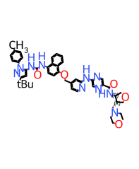 Cc1ccc(-n2nc(C(C)(C)C)cc2NC(=O)Nc2ccc(OCc3ccnc(Nc4cnc(C(=O)N[C@H]5COC[C@@H]5CN5CCOCC5)cn4)c3)c3ccccc23)cc1